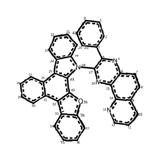 c1ccc(-c2nc3ccc4cccnc4c3nc2-n2c3ccccc3c3c4ccccc4c4c5ccccc5oc4c32)cc1